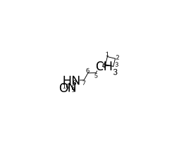 C1CCC1.CCCCNN=O